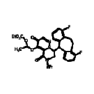 CCCN1CC(C2c3cccc(F)c3CCc3c(F)cccc32)n2ncc(=O)c(OC(C)OC(=O)OCC)c2C1=O